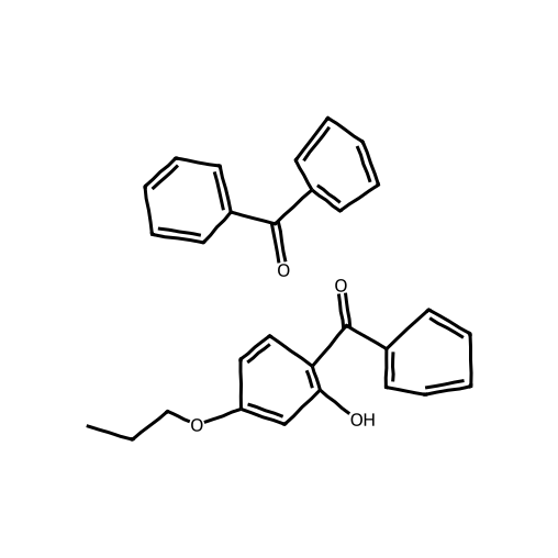 CCCOc1ccc(C(=O)c2ccccc2)c(O)c1.O=C(c1ccccc1)c1ccccc1